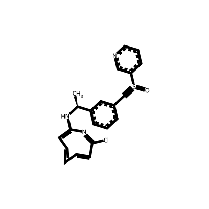 C[C@H](NC1=C/C=C/C=C/C(Cl)=N\1)c1cccc(C#S(=O)c2cccnc2)c1